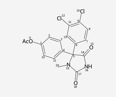 CC(=O)Oc1ccc(C2(c3ccc(Cl)c(Cl)c3)C(=O)NC(=O)N2C)cc1